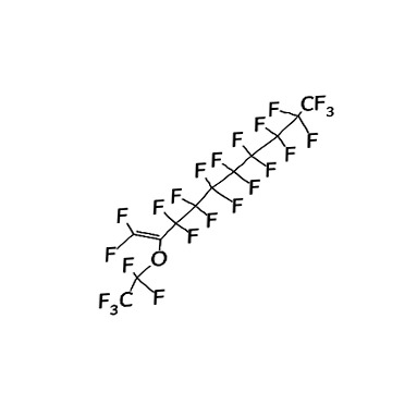 FC(F)=C(OC(F)(F)C(F)(F)F)C(F)(F)C(F)(F)C(F)(F)C(F)(F)C(F)(F)C(F)(F)C(F)(F)C(F)(F)F